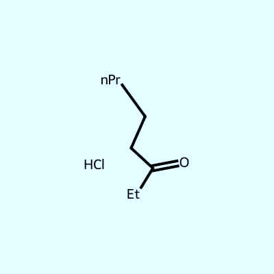 CCCCCC(=O)CC.Cl